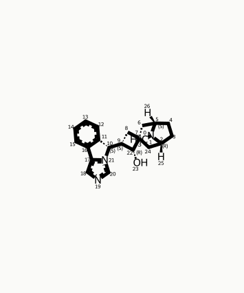 CN1[C@@H]2CC[C@H]1C[C@]1(C[C@@H]([C@H]3c4ccccc4-c4cncn43)[C@H]1O)C2